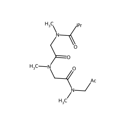 CC(=O)CN(C)C(=O)CN(C)C(=O)CN(C)C(=O)C(C)C